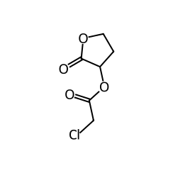 O=C(CCl)OC1CCOC1=O